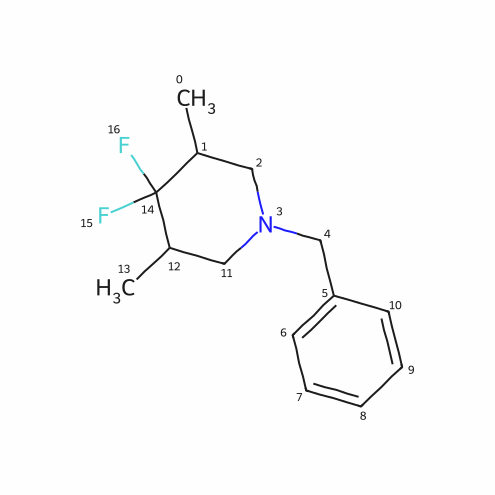 CC1CN(Cc2ccccc2)CC(C)C1(F)F